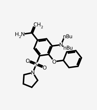 C=C(N)c1cc(N(CCCC)CCCC)c(OC2C=CC=CC2)c(S(=O)(=O)N2CCCC2)c1